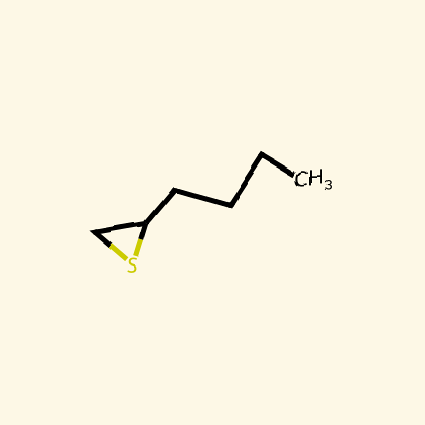 CCCCC1CS1